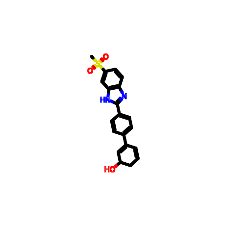 CS(=O)(=O)c1ccc2nc(-c3ccc(C4=CC(O)CC=C4)cc3)[nH]c2c1